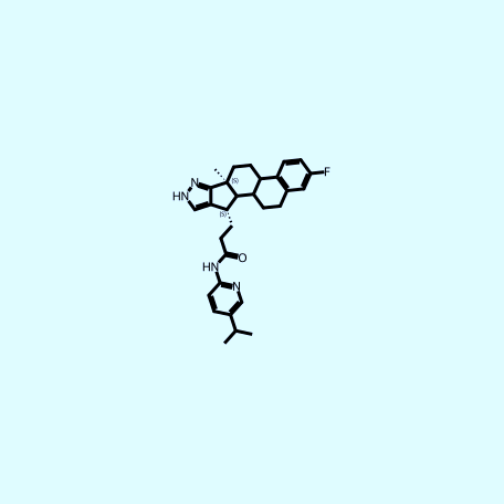 CC(C)c1ccc(NC(=O)CC[C@@H]2c3c[nH]nc3[C@@]3(C)CCC4c5ccc(F)cc5CCC4C23)nc1